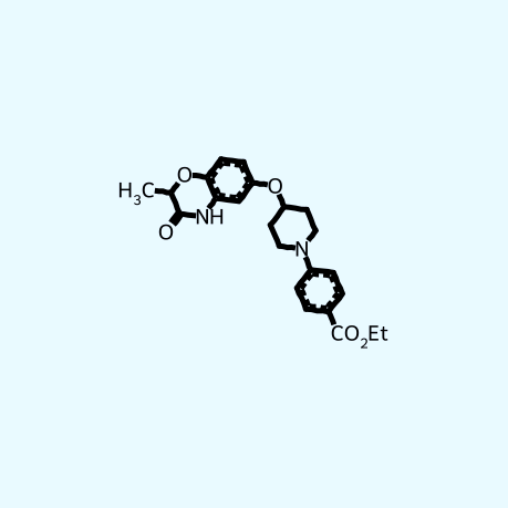 CCOC(=O)c1ccc(N2CCC(Oc3ccc4c(c3)NC(=O)C(C)O4)CC2)cc1